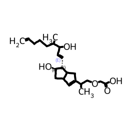 C=CCCCC(C)C(O)/C=C/[C@@H]1C2CC(C(C)COCC(=O)O)=CC2C[C@H]1O